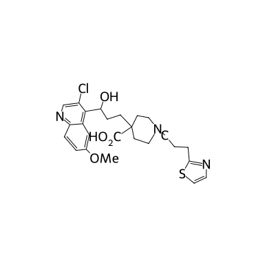 COc1ccc2ncc(Cl)c(C(O)CCC3(C(=O)O)CCN(CCCc4nccs4)CC3)c2c1